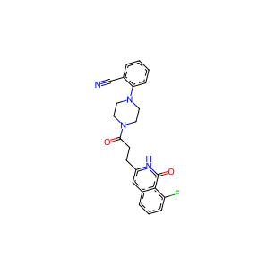 N#Cc1ccccc1N1CCN(C(=O)CCc2cc3cccc(F)c3c(=O)[nH]2)CC1